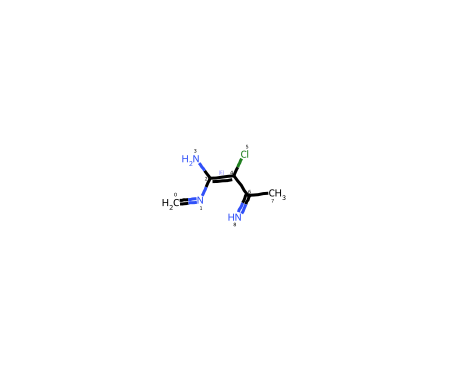 C=N/C(N)=C(/Cl)C(C)=N